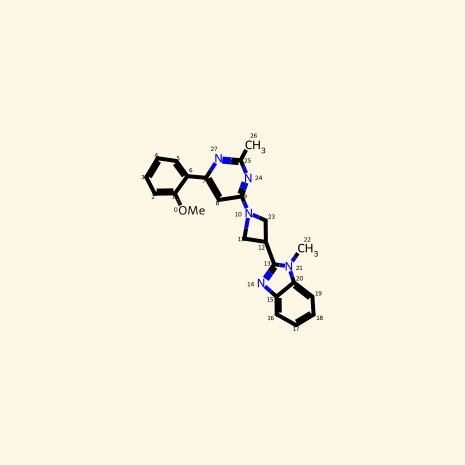 COc1ccccc1-c1cc(N2CC(c3nc4ccccc4n3C)C2)nc(C)n1